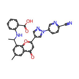 Cc1cc(C(C)Nc2ccccc2C(=O)O)c2oc(-c3cnn(-c4ccc(C#N)nc4)c3)cc(=O)c2c1